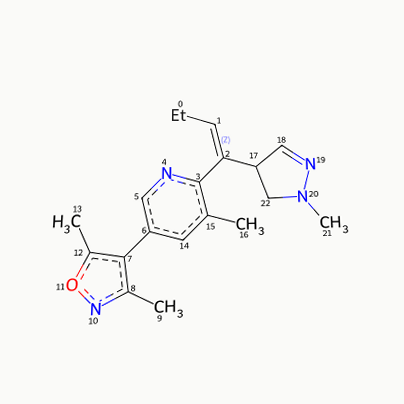 CC/C=C(\c1ncc(-c2c(C)noc2C)cc1C)C1C=NN(C)C1